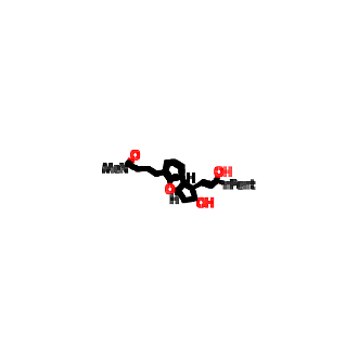 CCCCC[C@H](O)/C=C/[C@@H]1[C@H]2c3cccc(CCCC(=O)NC)c3O[C@H]2C[C@H]1O